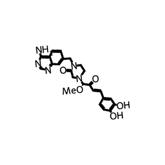 CO[C@@H](C(=O)/C=C/c1ccc(O)c(O)c1)N1CCN(Cc2ccc3c(N)ncnc3c2)C(=O)C1